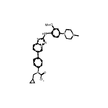 COc1cc(N2CCN(C)CC2)ccc1Nc1nc2ccc(-c3ccc(N(CC4CC4)C(=O)C(F)(F)F)cc3)cn2n1